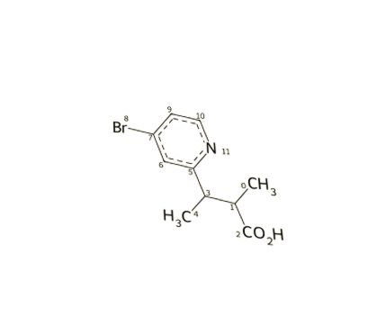 CC(C(=O)O)C(C)c1cc(Br)ccn1